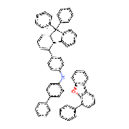 C[C@@]12C=CC=C(c3ccc(N(c4ccc(-c5ccccc5)cc4)c4cccc5c4oc4c(-c6ccccc6)cccc45)cc3)C1c1ccccc1C2(c1ccccc1)c1ccccc1